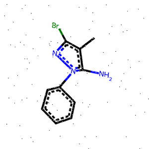 Cc1c(Br)nn(-c2ccccc2)c1N